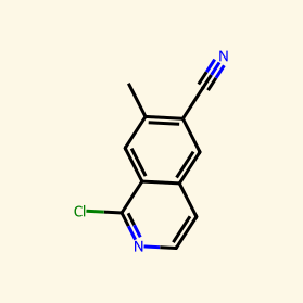 Cc1cc2c(Cl)nccc2cc1C#N